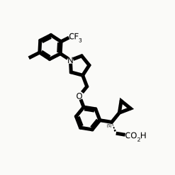 Cc1ccc(C(F)(F)F)c(N2CCC(COc3cccc([C@@H](CC(=O)O)C4CC4)c3)C2)c1